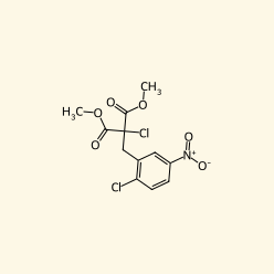 COC(=O)C(Cl)(Cc1cc([N+](=O)[O-])ccc1Cl)C(=O)OC